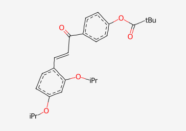 CC(C)Oc1ccc(/C=C/C(=O)c2ccc(OC(=O)C(C)(C)C)cc2)c(OC(C)C)c1